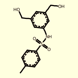 Cc1ccc(S(=O)(=O)Nc2cc(CO)cc(CO)c2)cc1